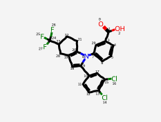 O=C(O)c1cccc(-n2c(-c3ccc(Cl)c(Cl)c3)cc3c2CCC(C(F)(F)F)C3)c1